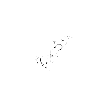 CNc1ncc2cc(C3CC3NC(=O)Nc3cc(C(C)(C)C)nn3-c3cn[nH]c3)c(=O)n(C(C)C)c2n1